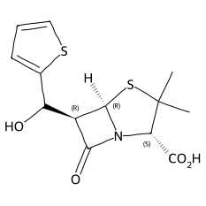 CC1(C)S[C@@H]2[C@H](C(O)c3cccs3)C(=O)N2[C@H]1C(=O)O